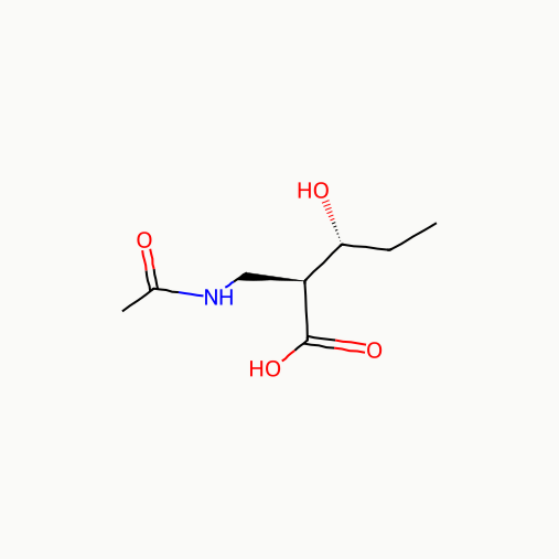 CC[C@@H](O)[C@H](CNC(C)=O)C(=O)O